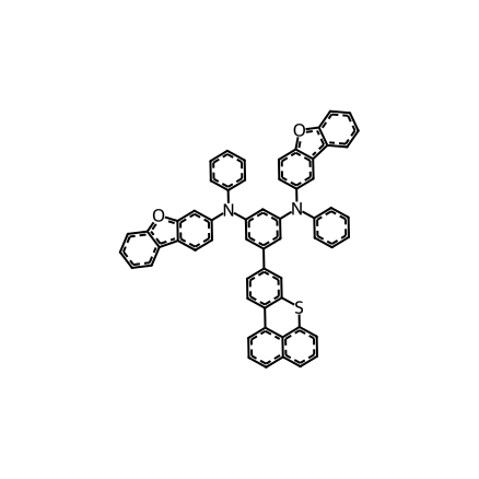 c1ccc(N(c2cc(-c3ccc4c(c3)Sc3cccc5cccc-4c35)cc(N(c3ccccc3)c3ccc4oc5ccccc5c4c3)c2)c2ccc3c(c2)oc2ccccc23)cc1